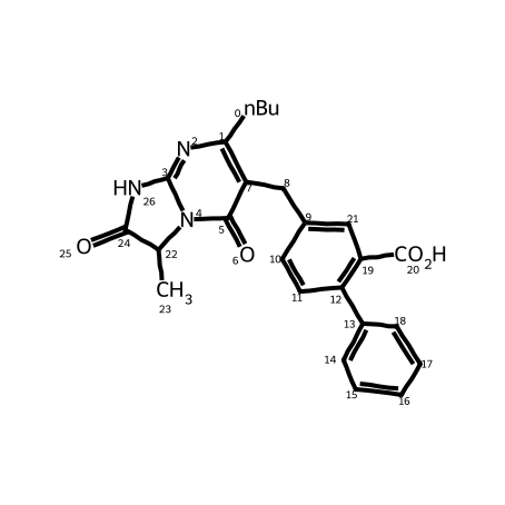 CCCCc1nc2n(c(=O)c1Cc1ccc(-c3ccccc3)c(C(=O)O)c1)C(C)C(=O)N2